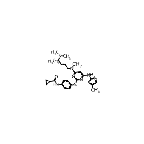 Cc1cnc(Nc2cc(N(C)CCC[C@@H](C)N(C)C)nc(Sc3ccc(NC(=O)C4CC4)cc3)n2)s1